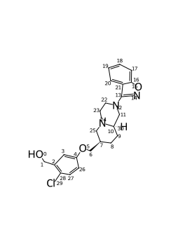 OCc1cc(OC[C@@H]2CC[C@@H]3CN(c4noc5ccccc45)CCN3C2)ccc1Cl